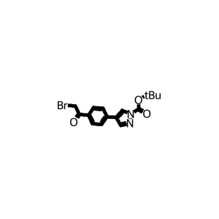 CC(C)(C)OC(=O)n1cc(-c2ccc(C(=O)CBr)cc2)cn1